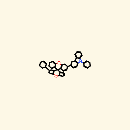 C1=CC(n2c3c(c4ccccc42)CC(C2C=CC4=C(C2)OC2=CCCC=C2C42C4=C(CCC(C5C=CCCC5)C4)Oc4ccccc42)C=C3)=CCC1